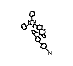 N#Cc1ccc(-c2ccc3c(c2)C2(c4ccccc4Sc4ccc(-c5nc(-c6ccccc6)nc(-c6ccccc6)n5)cc42)c2ccccc2-3)cc1